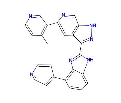 Cc1ccncc1-c1cc2c(-c3nc4c(-c5ccncc5)cccc4[nH]3)n[nH]c2cn1